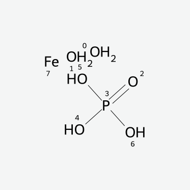 O.O.O=P(O)(O)O.[Fe]